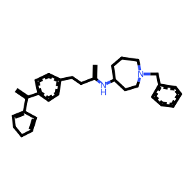 C=C(CCc1ccc(C(=C)C2=CCCC=C2)cc1)NC1CCCN(Cc2ccccc2)CC1